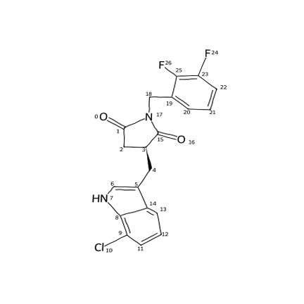 O=C1C[C@H](Cc2c[nH]c3c(Cl)cccc23)C(=O)N1Cc1cccc(F)c1F